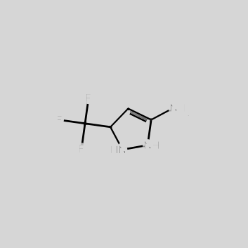 NC1=CC(C(F)(F)F)NN1